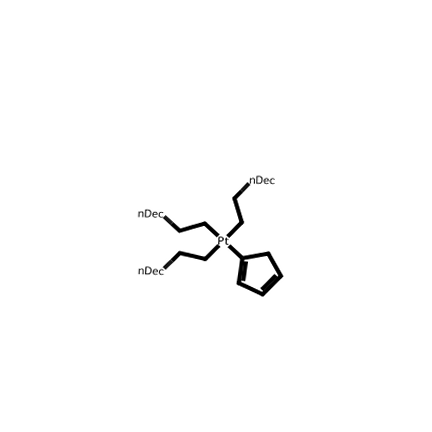 CCCCCCCCCCC[CH2][Pt]([CH2]CCCCCCCCCCC)([CH2]CCCCCCCCCCC)[C]1=CC=CC1